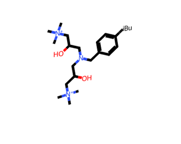 CCC(C)c1ccc(CN(CC(O)C[N+](C)(C)C)CC(O)C[N+](C)(C)C)cc1